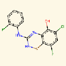 Oc1c(Cl)cc(F)c2c1N=C(Nc1ccccc1F)NS2